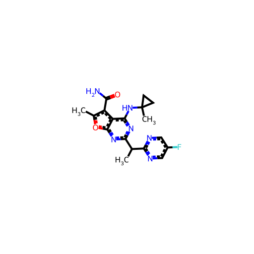 Cc1oc2nc(C(C)c3ncc(F)cn3)nc(NC3(C)CC3)c2c1C(N)=O